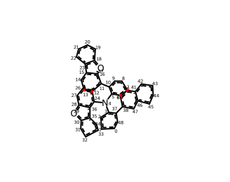 c1ccc(N(c2ccccc2-c2cccc3c2oc2ccccc23)c2cccc3oc4ccccc4c23)c(-c2ccc3ccccc3c2)c1